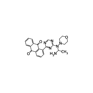 CC(N)N(c1ncnc(-c2cccc3c2C(=O)c2ccccc2C3=O)n1)N1CCOCC1